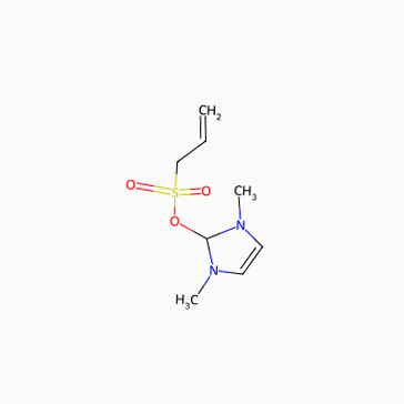 C=CCS(=O)(=O)OC1N(C)C=CN1C